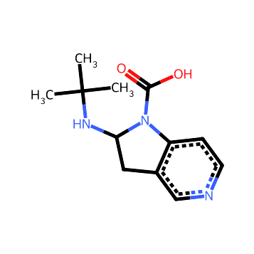 CC(C)(C)NC1Cc2cnccc2N1C(=O)O